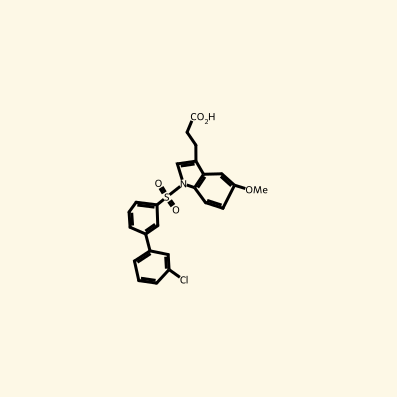 COc1ccc2c(c1)c(CCC(=O)O)cn2S(=O)(=O)c1cccc(-c2cccc(Cl)c2)c1